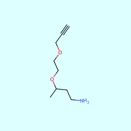 C#CCOCCOC(C)CCN